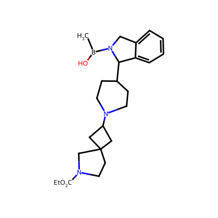 CCOC(=O)N1CCC2(CC(N3CCC(C4c5ccccc5CN4B(C)O)CC3)C2)C1